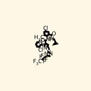 Cc1cc(Cl)cc(C(=O)NCC2CC2)c1NC(=O)c1cc(Cn2ncc(C(F)(F)C(F)(F)C(F)(F)F)n2)nn1-c1ncccc1Cl